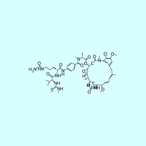 CNC(=S)N[C@H](C(=O)N[C@@H](CCCNC(N)=O)C(=O)Nc1ccc(C(=O)N(C)[C@@H](C)C(=O)O[C@H]2CC(=O)N(C)c3cc(cc(OC)c3Cl)C/C(C)=C/C=C/[C@@H](OC)[C@@]3(O)C[C@H](OC(=O)N3)[C@@H](C)[C@@H]3O[C@@]23C)cc1)C(C)C